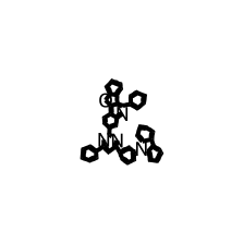 c1ccc(-c2cc(-c3cccc(-n4c5ccccc5c5ccccc54)c3)nc(-c3ccc4c(c3)nc(-c3ccccc3)c3c5ccccc5oc43)n2)cc1